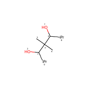 [CH2]C(C)C(O)C(C)(C)C(O)C(C)C